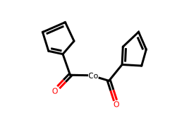 O=[C]([Co][C](=O)C1=CC=CC1)C1=CC=CC1